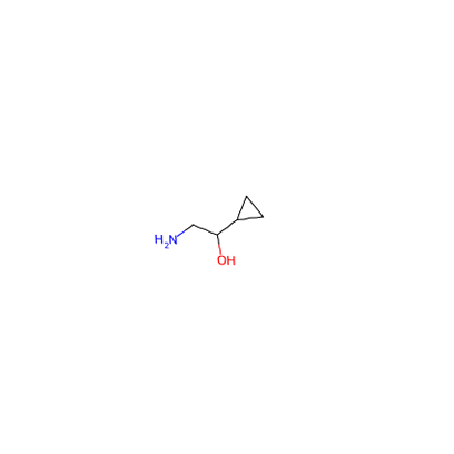 NCC(O)C1CC1